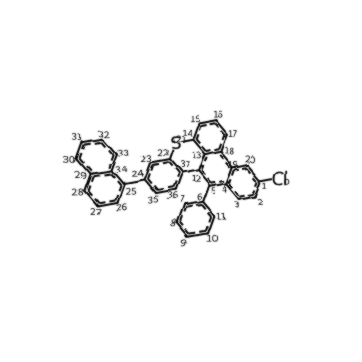 Clc1ccc2c(-c3ccccc3)c3c4c(cccc4c2c1)Sc1cc(-c2cccc4ccccc24)ccc1-3